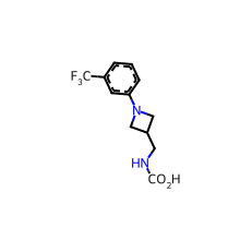 O=C(O)NCC1CN(c2cccc(C(F)(F)F)c2)C1